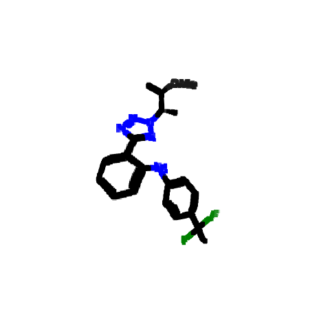 CO[C@H](C)[C@H](C)n1nnc(-c2ccccc2Nc2ccc(C(C)(F)F)cc2)n1